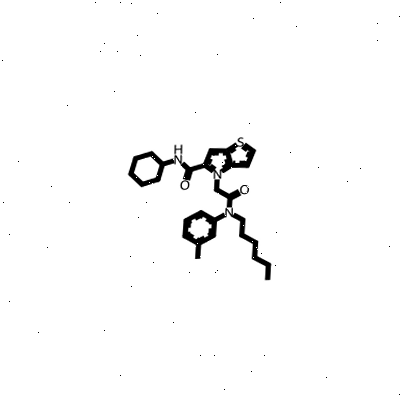 CCCCCCN(C(=O)Cn1c(C(=O)NC2CCCCC2)cc2sccc21)c1cccc(C)c1